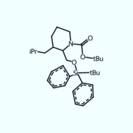 CC(C)CC1CCCN(C(=O)OC(C)(C)C)C1CO[Si](c1ccccc1)(c1ccccc1)C(C)(C)C